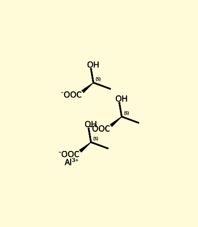 C[C@H](O)C(=O)[O-].C[C@H](O)C(=O)[O-].C[C@H](O)C(=O)[O-].[Al+3]